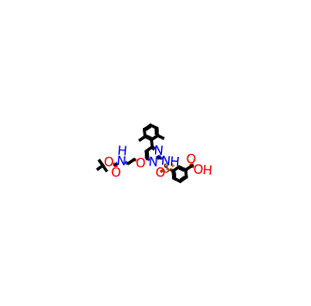 Cc1cccc(C)c1-c1cc(OCCNC(=O)OC(C)(C)C)nc(N[S+]([O-])c2cccc(C(=O)O)c2)n1